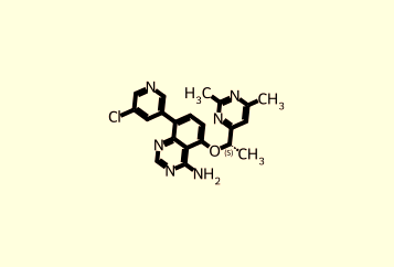 Cc1cc([C@H](C)Oc2ccc(-c3cncc(Cl)c3)c3ncnc(N)c23)nc(C)n1